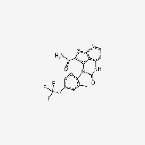 Cc1cc(OC(F)(F)F)ccc1N1C(=O)Nc2ccnc3sc(C(N)=O)c1c23